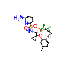 Cc1ccc([C@H]2C[C@@H]2C(F)(F)F)c(OC2(C(=O)NS(=O)(=O)c3cccc(N)n3)CC2)c1